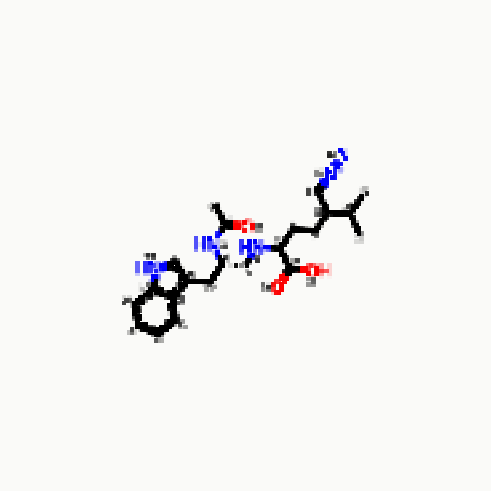 CC(=O)N[C@H](CNC(CCC(C=[N+]=[N-])C(C)C)C(=O)O)Cc1c[nH]c2ccccc12